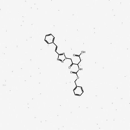 O=C(O)CC(NC(=O)OCc1ccccc1)C(=O)Cn1nnc(C=Cc2ccccc2)n1